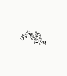 C=CCNC(=O)C(=O)C(CC1CC1)NC(=O)[C@@H]1[C@@H]2[C@H](CN1C(=O)[C@@H](NC(=O)N[C@H](CN(C)S(=O)(=O)c1ccccn1)C(C)(C)C)C(C)(C)C)C2(C)C